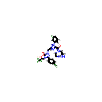 O=C(c1nc(Cn2nc(-c3ccc(Cl)cc3)n(C[C@H](O)C(F)(F)F)c2=O)nn1-c1cccc(F)c1)N1CCNCC1